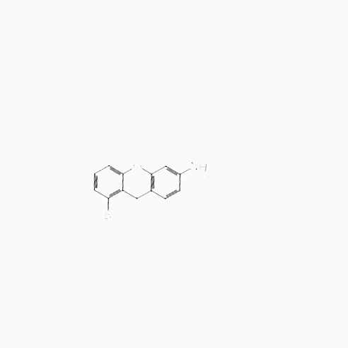 Nc1ccc2c(c1)Oc1cccc(Br)c1C2